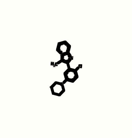 Cc1c(-c2cc(N3C[CH]CCC3)ccc2Cl)nc2ccccn12